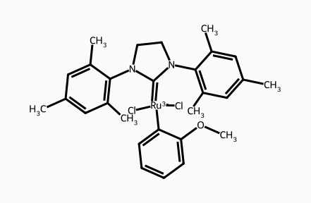 COc1cccc[c]1[Ru-3]([Cl])([Cl])=[C]1N(c2c(C)cc(C)cc2C)CCN1c1c(C)cc(C)cc1C